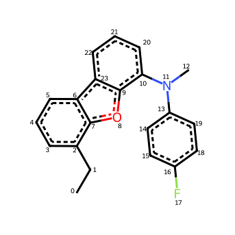 CCc1cccc2c1oc1c(N(C)c3ccc(F)cc3)cccc12